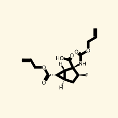 C=CCOC(=O)N[C@]1(C(=O)O)[C@@H]2[C@@H](C[C@@H]1F)[C@@H]2C(=O)OCC=C